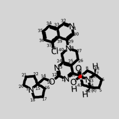 O=C(O)N1[C@@H]2CC[C@H]1CN(c1nc(OCC34CCCN3CCC4)nc3c1CCN(c1cncc4cccc(Cl)c14)C3)C2